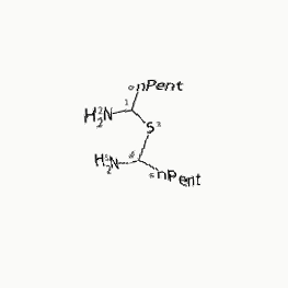 CCCCCC(N)SC(N)CCCCC